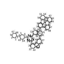 c1ccc(-c2ccc(-c3nc(-c4ccccc4)nc(-c4cccc5oc6ccc(-c7ccc(-c8ccc9c(c8)C8(c%10ccccc%10-c%10ccccc%108)c8ccccc8-9)cc7)cc6c45)n3)cc2)cc1